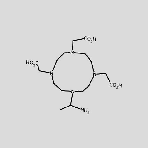 CC(N)N1CCN(CC(=O)O)CCN(CC(=O)O)CCN(CC(=O)O)CC1